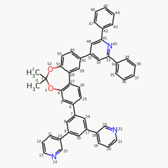 CC1(C)Oc2cc(-c3cc(-c4cccnc4)cc(-c4cccnc4)c3)ccc2-c2cc(-c3cc(-c4ccccc4)nc(-c4ccccc4)c3)ccc2O1